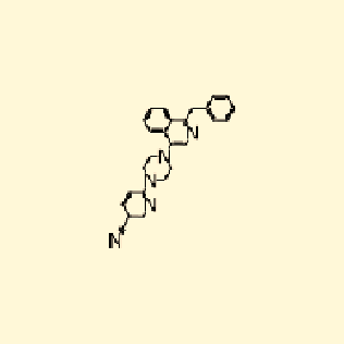 N#CC1C=CC(N2CCN(c3cnc(Cc4ccccc4)c4ccccc34)CC2)=NC1